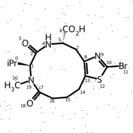 CC(C)[C@H]1C(=O)N[C@H](C(=O)O)Cc2nc(Br)sc2CCCC(=O)N1C